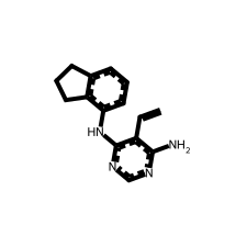 C=Cc1c(N)ncnc1Nc1cccc2c1CCC2